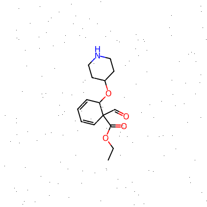 CCOC(=O)C1(C=O)C=CC=CC1OC1CCNCC1